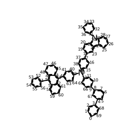 c1ccc(-c2cccc(-c3ccc(N(c4ccc(-c5ccc6c(c5)c5ccccc5n6-c5ccccc5)cc4)c4ccc(-c5c6ccccc6c(-c6ccccc6)c6ccccc56)cc4)cc3)c2)cc1